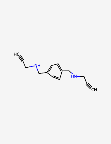 C#CCNCc1ccc(CNCC#C)cc1